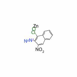 N#[N+]c1c([N+](=O)[O-])cc2ccccc2c1Cl.[Cl-].[Zn]